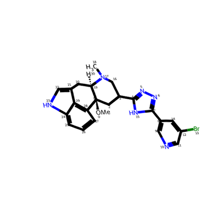 CO[C@]12CC(c3nnc(-c4cncc(Br)c4)[nH]3)CN(C)[C@@H]1Cc1c[nH]c3cccc2c13